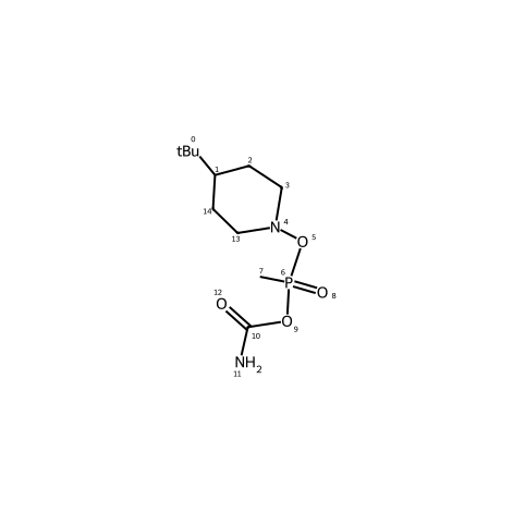 CC(C)(C)C1CCN(OP(C)(=O)OC(N)=O)CC1